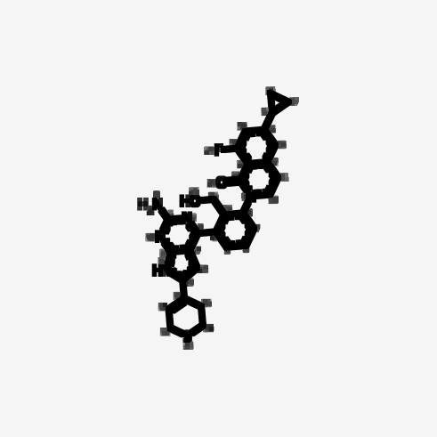 Nc1nc(-c2cccc(-n3ccc4cc(C5CC5)cc(F)c4c3=O)c2CO)c2cc(C3=CCSCC3)[nH]c2n1